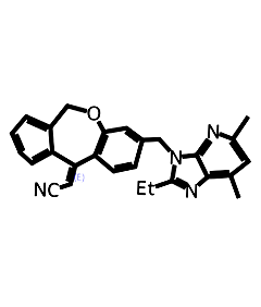 CCc1nc2c(C)cc(C)nc2n1Cc1ccc2c(c1)OCc1ccccc1/C2=C\C#N